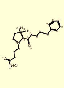 CC1(C)CCN(CCCC(=O)C=O)[C@@H]1C(=O)CCCCc1ccccc1